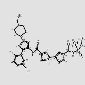 CCO[C@H]1CC[C@H](n2cc(NC(=O)c3csc(-c4cnn(C(C)OP(=O)(O)OC(C)(C)C)c4)n3)c(-c3nc(F)ccc3F)n2)CC1